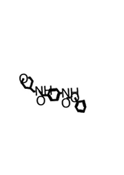 O=C(Nc1ccc(C(=O)NCC2CCOCC2)cc1)Oc1ccccc1